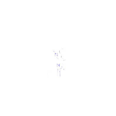 O=C(CC1CCCCCC1)c1cnn2ccc(C3=CCCCc4nc(NC5CCC(F)(F)CC5)ncc43)cc12